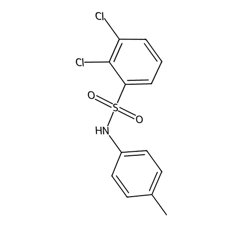 Cc1ccc(NS(=O)(=O)c2cccc(Cl)c2Cl)cc1